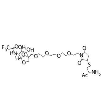 CC(=O)[C@@H](N)CSC1CC(=O)N(CCOCCOCCOCCOC[C@@]23CO[C@@H](O2)[C@@H](NC(=O)C(F)(F)F)C(O)C3O)C1=O